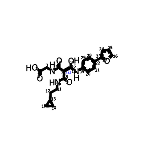 O=C(O)CNC(=O)/C(C(=O)NCCC1CC1)=C(\O)Nc1ccc(-c2ccco2)cc1